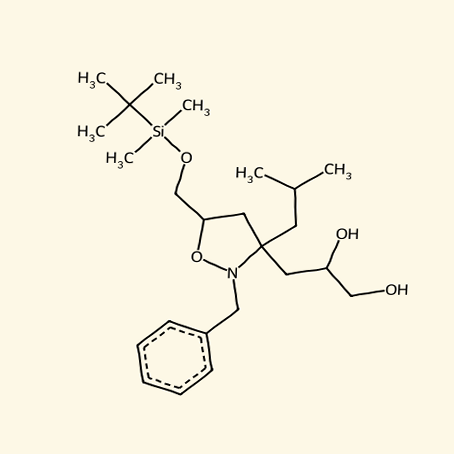 CC(C)CC1(CC(O)CO)CC(CO[Si](C)(C)C(C)(C)C)ON1Cc1ccccc1